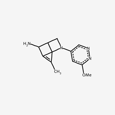 COc1cc(N2CC3C(N)C4=C(C)C432)cnn1